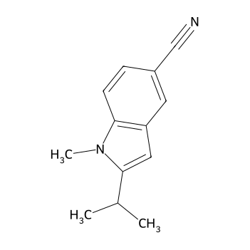 CC(C)c1cc2cc(C#N)ccc2n1C